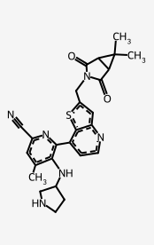 Cc1cc(C#N)nc(-c2ccnc3cc(CN4C(=O)C5C(C4=O)C5(C)C)sc23)c1NC1CCNC1